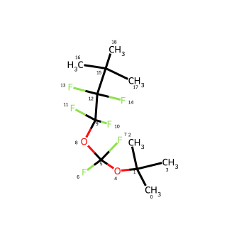 CC(C)(C)OC(F)(F)OC(F)(F)C(F)(F)C(C)(C)C